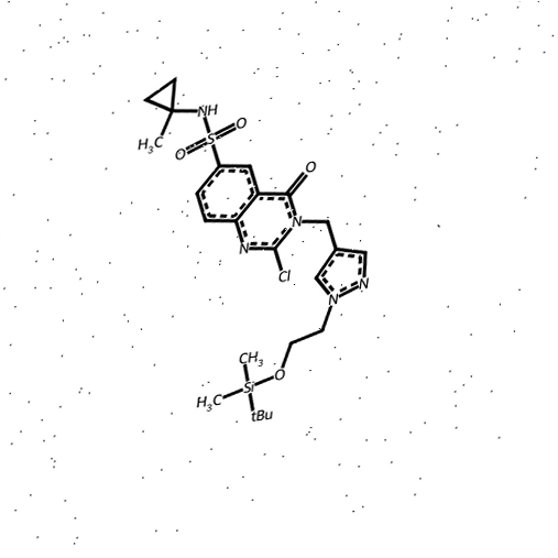 CC1(NS(=O)(=O)c2ccc3nc(Cl)n(Cc4cnn(CCO[Si](C)(C)C(C)(C)C)c4)c(=O)c3c2)CC1